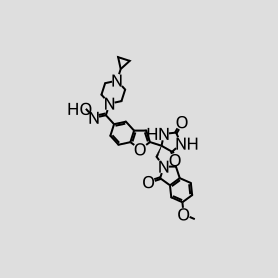 COc1ccc2c(c1)C(=O)N(C[C@@]1(c3cc4cc(C(=NO)N5CCN(C6CC6)CC5)ccc4o3)NC(=O)NC1=O)C2